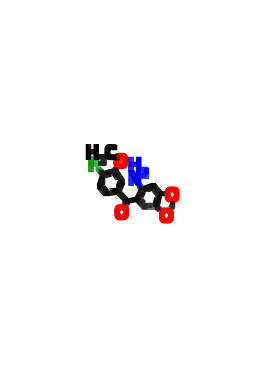 COc1cc(C(=O)c2cc3c(cc2N)OCO3)ccc1F